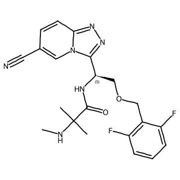 CNC(C)(C)C(=O)N[C@H](COCc1c(F)cccc1F)c1nnc2ccc(C#N)cn12